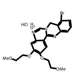 COCCOc1cc2c(cc1OCCOC)C1=Nc3cccc(Br)c3CN1C=N2.Cl.O